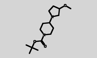 COC1CCN(C2CCN(C(=O)OC(C)(C)C)CC2)C1